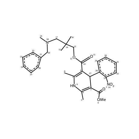 COC(=O)C1=C(C)NC(C)=C(C(=O)OCC(C)(C)CN(C)Cc2ccccc2)C1c1ccccc1[N+](=O)[O-]